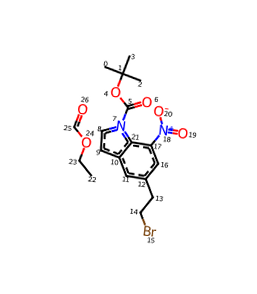 CC(C)(C)OC(=O)n1ccc2cc(CCBr)cc([N+](=O)[O-])c21.CCOC=O